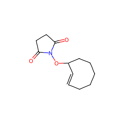 O=C1CCC(=O)N1OC1/C=C/CCCCC1